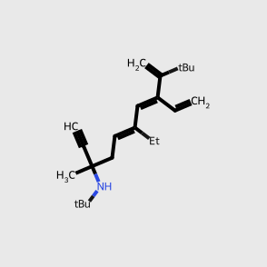 C#CC(C)(C/C=C(/C=C(\C=C)C(=C)C(C)(C)C)CC)NC(C)(C)C